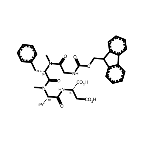 CC(C)[C@@H](C(=O)N[C@@H](CC(=O)O)C(=O)O)N(C)C(=O)[C@H](Cc1ccccc1)N(C)C(=O)CNC(=O)OCC1c2ccccc2-c2ccccc21